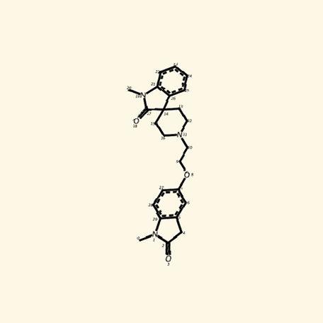 CN1C(=O)Cc2cc(OCCN3CCC4(CC3)C(=O)N(C)c3ccccc34)ccc21